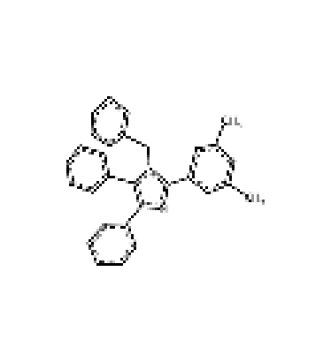 Cc1cc(C)cc(-c2nc(-c3ccccc3)c(-c3ccccc3)n2Cc2ccccc2)c1